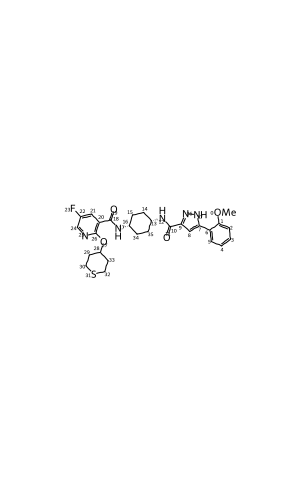 COc1ccccc1-c1cc(C(=O)N[C@H]2CC[C@@H](NC(=O)c3cc(F)cnc3OC3CCSCC3)CC2)n[nH]1